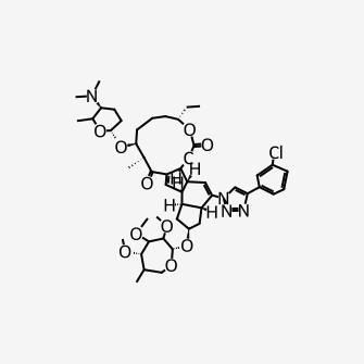 CC[C@H]1CCC[C@H](O[C@H]2CC[C@H](N(C)C)C(C)O2)[C@@H](C)C(=O)C2=C[C@@H]3[C@@H](C=C(n4cc(-c5cccc(Cl)c5)nn4)[C@@H]4C[C@@H](O[C@@H]5OCC(C)[C@H](OC)C(OC)C5OC)C[C@@H]34)[C@@H]2CC(=O)O1